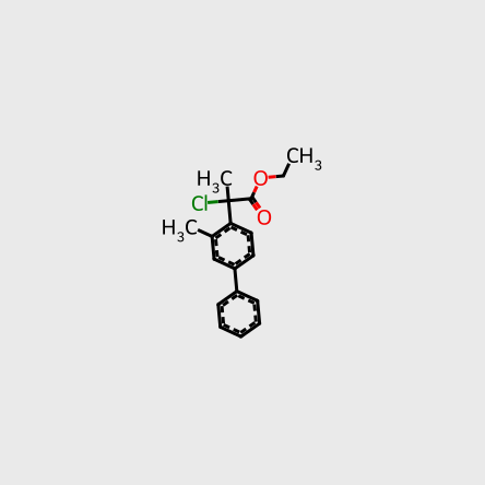 CCOC(=O)C(C)(Cl)c1ccc(-c2ccccc2)cc1C